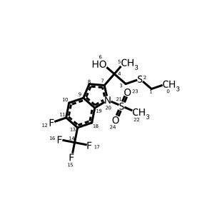 CCSCC(C)(O)c1cc2cc(F)c(C(F)(F)F)cc2n1S(C)(=O)=O